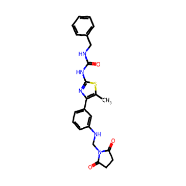 Cc1sc(NC(=O)NCc2ccccc2)nc1-c1cccc(NCN2C(=O)CCC2=O)c1